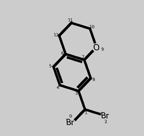 BrC(Br)c1ccc2c(c1)OCCC2